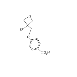 CCC1(COc2ccc(C(=O)O)cc2)COC1